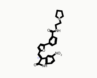 O=C1Nc2ccc([N+](=O)[O-])cc2/C1=C\c1ccc(-c2cccc(C(=O)NCCN3CCCC3)c2)o1